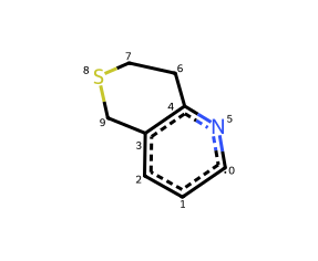 [c]1ccc2c(n1)CCSC2